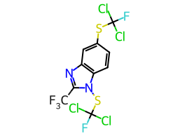 FC(Cl)(Cl)Sc1ccc2c(c1)nc(C(F)(F)F)n2SC(F)(Cl)Cl